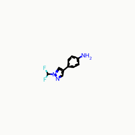 Nc1ccc(-c2cnn(C(F)F)c2)cc1